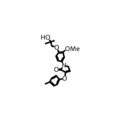 COc1cc(N2CC=C(Oc3ccc(C)cc3)C2=O)ccc1OCC(C)(C)O